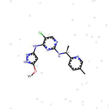 Cc1ccc([C@H](C)Nc2ncc(Cl)c(Nc3cc(OC(C)C)[nH]n3)n2)nc1